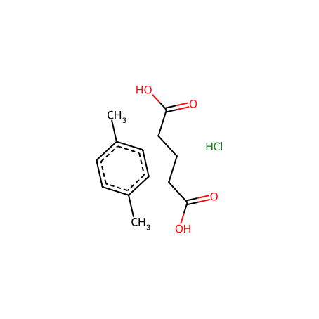 Cc1ccc(C)cc1.Cl.O=C(O)CCCC(=O)O